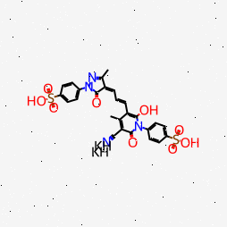 CC1=NN(c2ccc(S(=O)(=O)O)cc2)C(=O)C1=CC=Cc1c(C)c(C#N)c(=O)n(-c2ccc(S(=O)(=O)O)cc2)c1O.[KH].[KH]